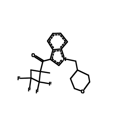 CC1(C(=O)c2cn(CC3CCOCC3)c3ccccc23)CC(F)(F)C1(F)F